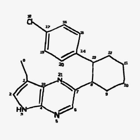 Cc1c[nH]c2ncc(C3CCCCC3c3ccc(Cl)cc3)nc12